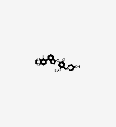 CCOc1cc(O[C@H]2CCc3c(-c4ccc5c(c4F)OCCO5)cccc32)c(Cl)cc1CN1CCC(O)CC1